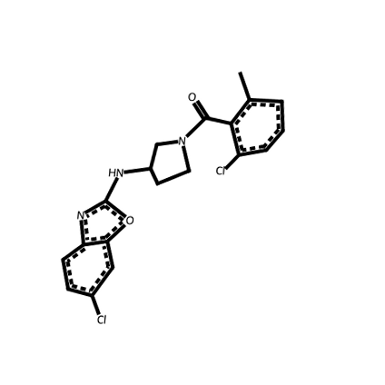 Cc1cccc(Cl)c1C(=O)N1CCC(Nc2nc3ccc(Cl)cc3o2)C1